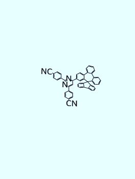 N#Cc1ccc(-c2cc(-c3ccc4c(c3)C3(c5ccccc5-c5ccccc5-4)c4ccccc4-c4ccccc43)nc(-c3ccc(C#N)cc3)n2)cc1